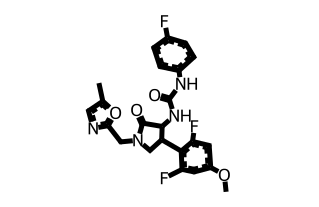 COc1cc(F)c(C2CN(Cc3ncc(C)o3)C(=O)C2NC(=O)Nc2ccc(F)cc2)c(F)c1